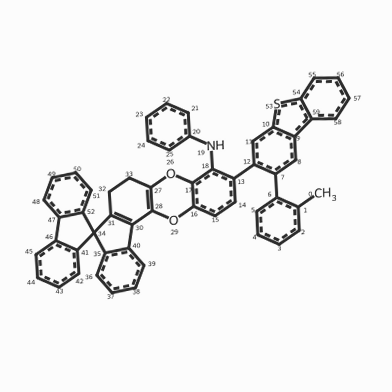 Cc1ccccc1-c1cc2c(cc1-c1ccc3c(c1Nc1ccccc1)OC1=C(O3)C3=C(CC1)C1(c4ccccc43)c3ccccc3-c3ccccc31)sc1ccccc12